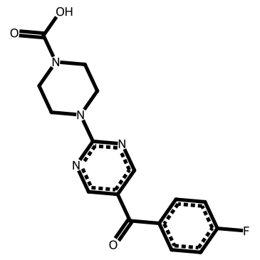 O=C(c1ccc(F)cc1)c1cnc(N2CCN(C(=O)O)CC2)nc1